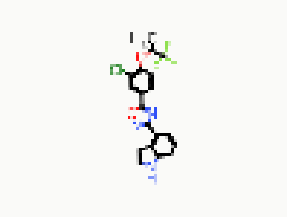 CC(Oc1ccc(-c2nc(-c3cccc4[nH]ccc34)no2)cc1Cl)C(F)(F)F